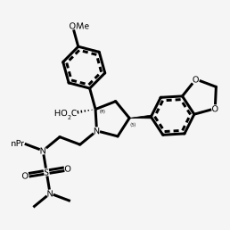 CCCN(CCN1C[C@H](c2ccc3c(c2)OCO3)C[C@]1(C(=O)O)c1ccc(OC)cc1)S(=O)(=O)N(C)C